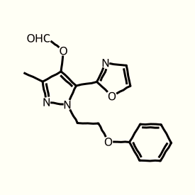 Cc1nn(CCOc2ccccc2)c(-c2ncco2)c1OC=O